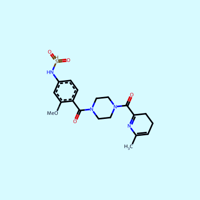 COc1cc(N[SH](=O)=O)ccc1C(=O)N1CCN(C(=O)C2=NC(C)=CCC2)CC1